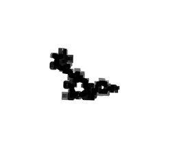 CCC(O)C(C)C1OC1CC(C)(O)/C=C/C=C(\C)C1OC(=O)CC(O)CCC(C)(O)C(OC(=O)N2CCCN(C(C)C)CC2)/C=C/C1C